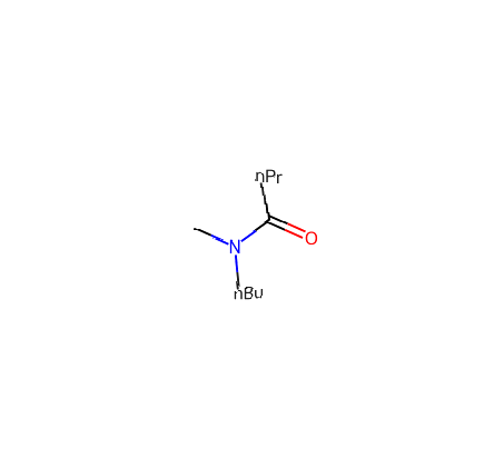 [CH2]CCC(=O)N(C)CCCC